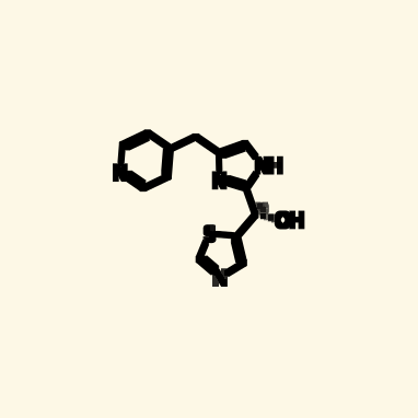 O[C@@H](c1nc(Cc2ccncc2)c[nH]1)c1cncs1